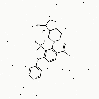 O=[N+]([O-])c1ccc(Oc2ccccc2)c(C(F)(F)F)c1N1CCN2CCC(O)[C@@H]2C1